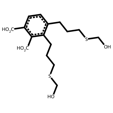 O=C(O)c1ccc(CCCSCO)c(CCCSCO)c1C(=O)O